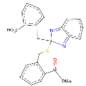 COC(=O)c1ccccc1CSC1(Cc2ccccc2C(=O)O)N=c2ccccc2=N1